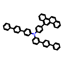 c1ccc(-c2ccc(-c3ccc(N(c4ccc(-c5cc6c7ccccc7ccc6c6ccccc56)cc4)c4cccc(-c5ccc(-c6ccccc6)cc5)c4)cc3)cc2)cc1